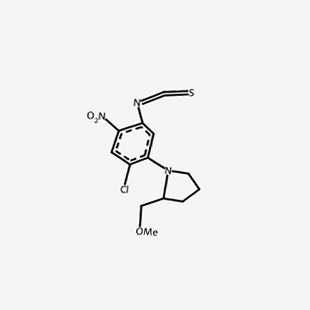 COCC1CCCN1c1cc(N=C=S)c([N+](=O)[O-])cc1Cl